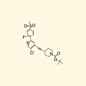 CC(C)(C)OC(=O)N1CCC(C#Cc2cc(-c3ccc(S(C)(=O)=O)cc3F)ncc2Cl)CC1